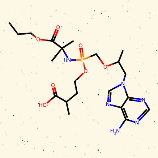 CCCOC(=O)C(C)(C)NP(=O)(COC(C)Cn1cnc2c(N)ncnc21)OCCC(C)C(=O)O